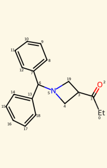 CCC(=O)C1CN(C(c2ccccc2)c2ccccc2)C1